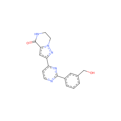 O=C1NCCn2nc(-c3ccnc(-c4cccc(CO)c4)n3)cc21